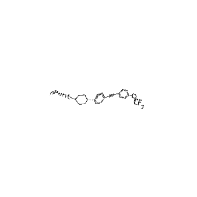 CCCCC[C@H]1CC[C@H](c2ccc(C#Cc3ccc(OC(F)(F)F)cc3)cc2)CC1